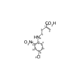 C=C(CCNc1ccc(Cl)cc1[N+](=O)[O-])C(=O)O